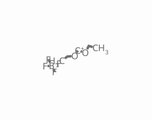 CCO[CH+]OCC.F[B-](F)(F)F